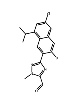 CC(C)c1cc(Cl)nc2cc(F)c(-c3nc(C=O)n(C)n3)cc12